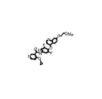 COCCOc1ccc2c(Oc3c(F)cc(NC(=O)c4cnccc4OC4CC4)cc3F)ccnc2c1